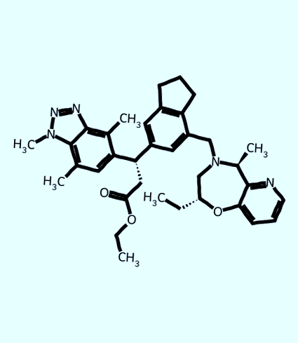 CCOC(=O)C[C@@H](c1cc2c(c(CN3C[C@@H](CC)Oc4cccnc4[C@@H]3C)c1)CCC2)c1cc(C)c2c(nnn2C)c1C